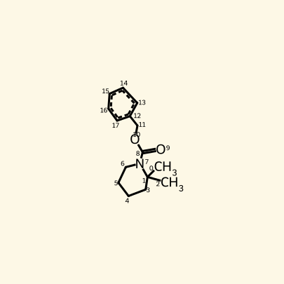 CC1(C)CCCCN1C(=O)OCc1ccccc1